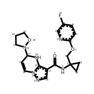 O=C(NC1(COc2ccc(F)cn2)CC1)c1cnn2c1NC(N1CCCO1)C=C2